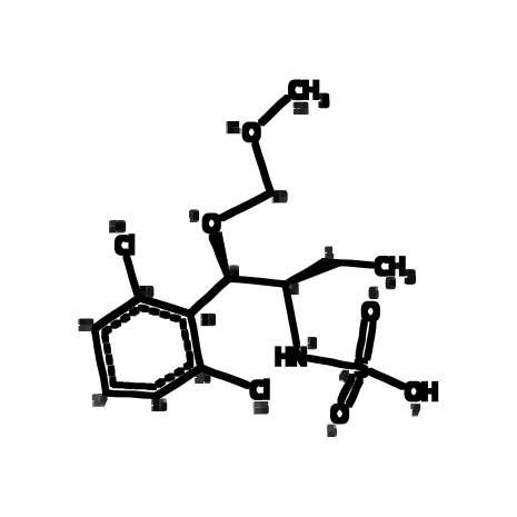 CC[C@@H](NS(=O)(=O)O)[C@H](OCOC)c1c(Cl)cccc1Cl